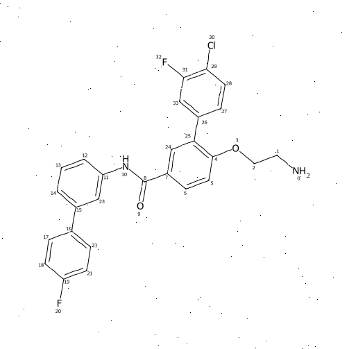 NCCOc1ccc(C(=O)Nc2cccc(-c3ccc(F)cc3)c2)cc1-c1ccc(Cl)c(F)c1